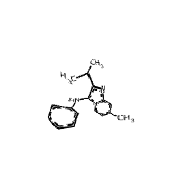 Cc1ccn2c(Nc3ccccc3)c(C(C)C)nc2c1